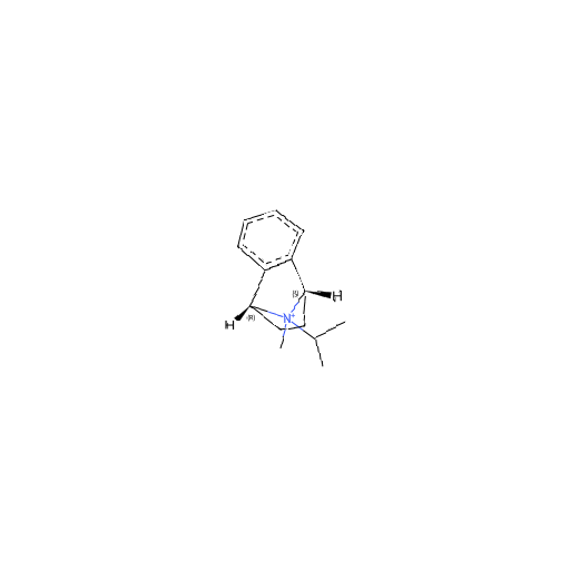 CC(C)[N+]1(C)[C@@H]2CC[C@H]1c1ccccc12